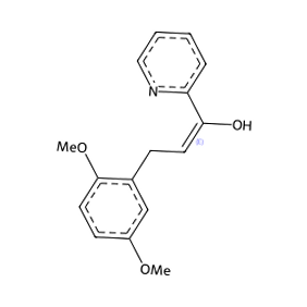 COc1ccc(OC)c(C/C=C(/O)c2ccccn2)c1